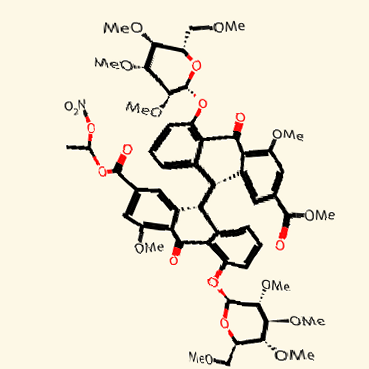 COC[C@@H]1O[C@H](Oc2cccc3c2C(=O)c2c(OC)cc(C(=O)OC)cc2[C@@H]3[C@H]2c3cc(C(=O)OC(C)O[N+](=O)[O-])cc(OC)c3C(=O)c3c(O[C@@H]4O[C@H](COC)[C@@H](OC)[C@H](OC)[C@H]4OC)cccc32)[C@@H](OC)[C@H](OC)[C@H]1OC